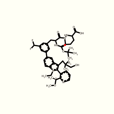 CCn1c(-c2cccnc2[C@H](C)OC)c(CC(C)(C)CO)c2cc(-c3cc(CC(NC(=O)OC(C)(C)C)C(=O)N4CCCC(C(=O)O)N4)cc(C(F)F)c3)ccc21